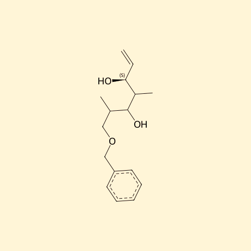 C=C[C@H](O)C(C)C(O)C(C)COCc1ccccc1